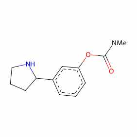 CNC(=O)Oc1cccc(C2CCCN2)c1